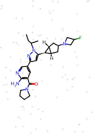 CCC(C)n1nc(-c2cnc(N)c(C(=O)N3CCCC3)c2)cc1[C@H]1[C@@H]2CC(N3CC(F)C3)C[C@@H]21